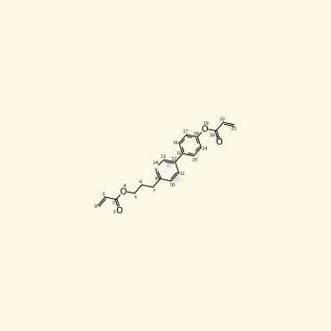 C=CC(=O)OCCCC(=C)/C=C\C(=C/C)c1ccc(OC(=O)C=C)cc1